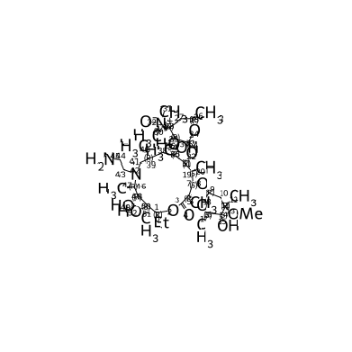 CC[C@H]1OC(=O)[C@H](C)[C@@H](O[C@H]2C[C@@](C)(OC)[C@@H](O)[C@H](C)O2)[C@H](C)[C@@H](O[C@@H]2O[C@H](C)C[C@H]([N+](C)(C)[O-])[C@H]2O)[C@](C)(O)C[C@@H](C)CN(CCN)[C@H](C)[C@@H](O)[C@]1(C)O